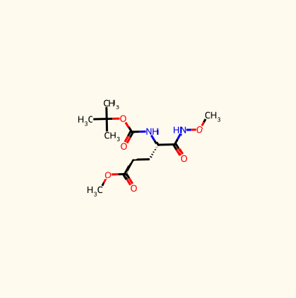 CONC(=O)[C@H](CCC(=O)OC)NC(=O)OC(C)(C)C